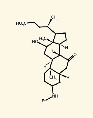 CCNC1CC[C@@]2(C)[C@H](CC(=O)[C@@H]3[C@@H]2CC(O)[C@]2(C)[C@@H]([C@H](C)CCC(=O)O)CC[C@@H]32)C1